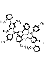 Cc1ccccc1-c1cc(C)c(N(c2ccc(C(C)(C)C)cc2)c2cc3c(c4cc(C(C)(C)C)ccc24)CC(N(c2ccc(C(C)(C)C)cc2)c2cc(C)c(-c4ccccc4C)cc2C)c2ccccc2-3)cc1C